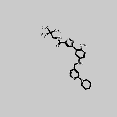 Cc1ccc(NCc2ccnc(N3CCCCC3)c2)cc1-c1cc(C(=O)NCC(C)(C)C)on1